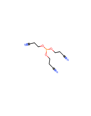 N#CCCOP(OCCC#N)OCCC#N